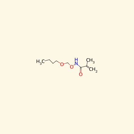 C=C(C)C(=O)NOCOCCCC